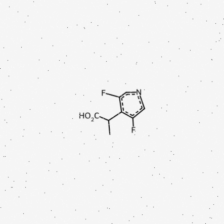 CC(C(=O)O)c1c(F)cncc1F